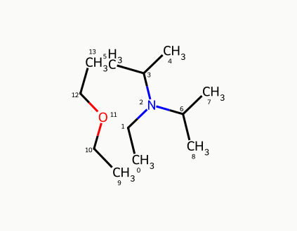 CCN(C(C)C)C(C)C.CCOCC